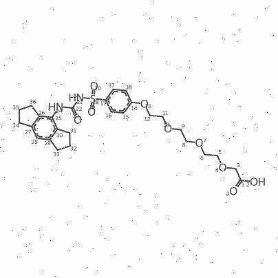 O=C(O)COCCOCCOCCOc1ccc(S(=O)(=O)NC(=O)Nc2c3c(cc4c2CCC4)CCC3)cc1